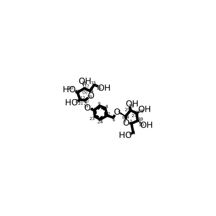 OCC1O[C@@H](OCc2ccc(O[C@H]3OC(CO)[C@@H](O)[C@H](O)C3O)cc2)C(O)[C@@H](O)[C@@H]1O